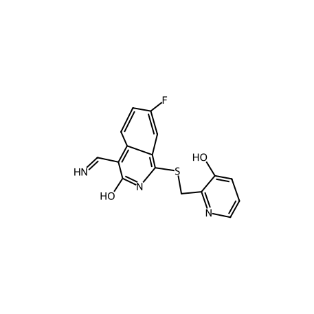 N=Cc1c(O)nc(SCc2ncccc2O)c2cc(F)ccc12